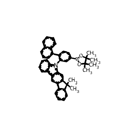 CC1(C)c2ccccc2-c2cc3c4ccccc4n(-c4cc(B5OC(C)(C)C(C)(C)O5)ccc4-c4cccc5ccccc45)c3cc21